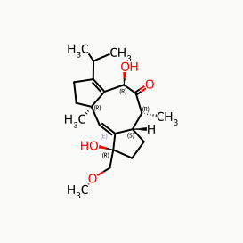 COC[C@@]1(O)CC[C@@H]2/C1=C\[C@@]1(C)CCC(C(C)C)=C1[C@@H](O)C(=O)[C@@H]2C